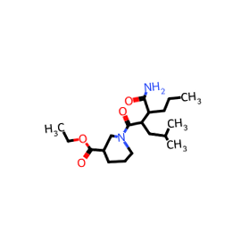 CCCC(C(N)=O)C(CC(C)C)C(=O)N1CCCC(C(=O)OCC)C1